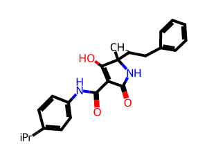 CC(C)c1ccc(NC(=O)C2=C(O)C(C)(CCc3ccccc3)NC2=O)cc1